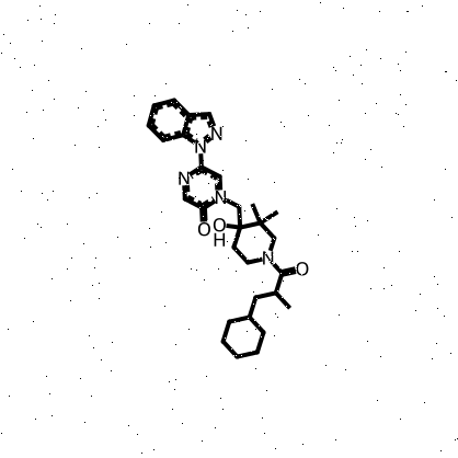 CC(CC1CCCCC1)C(=O)N1CCC(O)(Cn2cc(-n3ncc4ccccc43)ncc2=O)C(C)(C)C1